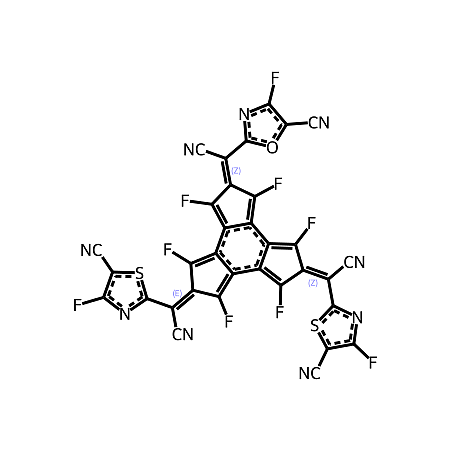 N#C/C(=C1/C(F)=c2c(c3c(c4c2=C(F)/C(=C(\C#N)c2nc(F)c(C#N)s2)C=4F)=C(F)/C(=C(\C#N)c2nc(F)c(C#N)s2)C=3F)=C1F)c1nc(F)c(C#N)o1